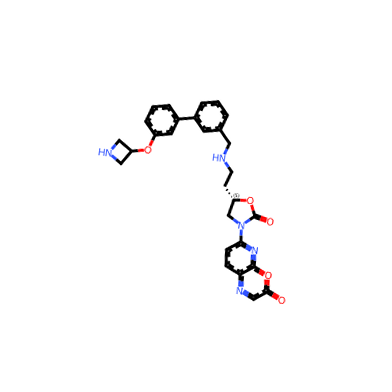 O=C1O[C@@H](CCNCc2cccc(-c3cccc(OC4CNC4)c3)c2)CN1c1ccc2ncc(=O)oc2n1